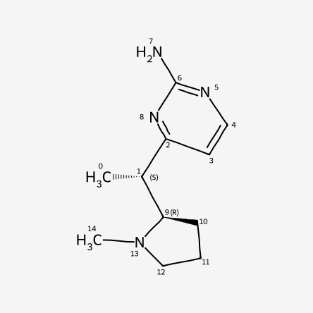 C[C@H](c1ccnc(N)n1)[C@H]1CCCN1C